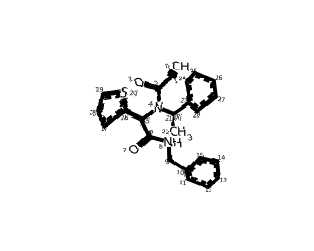 C#CC(=O)N(C(C(=O)NCc1ccccc1)c1cccs1)[C@H](C)c1ccccc1